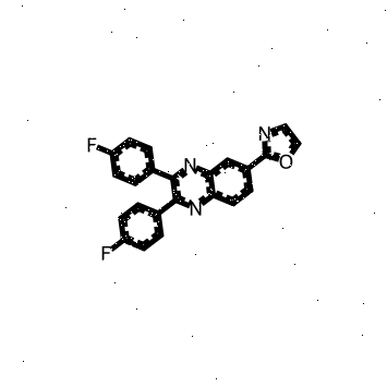 Fc1ccc(-c2nc3ccc(-c4ncco4)cc3nc2-c2ccc(F)cc2)cc1